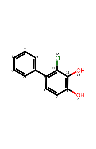 Oc1ccc(-c2ccccc2)c(Cl)c1O